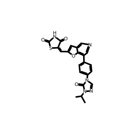 CC(C)n1ncn(-c2ccc(-c3cncc4cc(C=C5SC(=O)NC5=O)oc34)cc2)c1=O